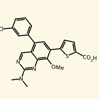 COc1c(-c2ccc(C(=O)O)s2)cc(-c2cccc(Cl)c2)c2cnc(N(C)C)nc12